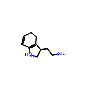 NCCC1CNC2=C1CCC=C2